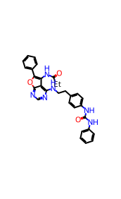 CCC(=O)Nc1c(-c2ccccc2)oc2ncnc(NCCc3ccc(NC(=O)Nc4ccccc4)cc3)c12